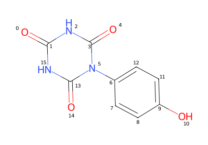 O=c1[nH]c(=O)n(-c2ccc(O)cc2)c(=O)[nH]1